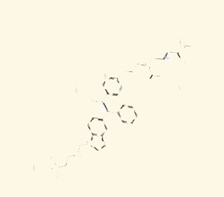 CN(C)C(=O)/C=C/CN(CCOc1ccc(/C(CC(F)(F)F)=C(\c2ccccc2)c2ccc3c(ccn3COCC[Si](C)(C)C)c2)cn1)C(=O)OC(C)(C)C